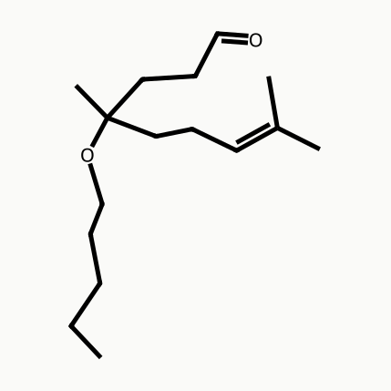 CCCCCOC(C)(CCC=O)CCC=C(C)C